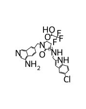 Nc1cncc2cc(CN3CC[C@H](NCc4cc5cc(Cl)ccc5[nH]4)C3=O)ccc12.O=C(O)C(F)(F)F